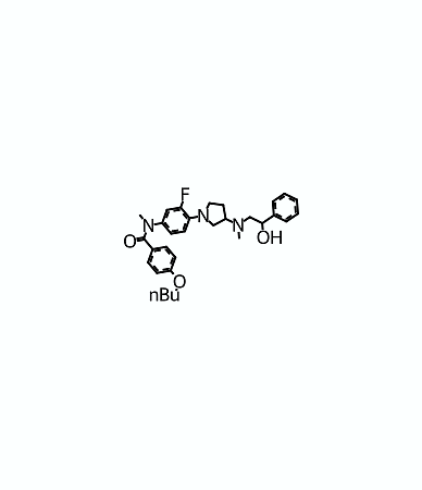 CCCCOc1ccc(C(=O)N(C)c2ccc(N3CCC(N(C)CC(O)c4ccccc4)C3)c(F)c2)cc1